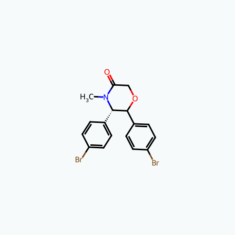 CN1C(=O)COC(c2ccc(Br)cc2)[C@@H]1c1ccc(Br)cc1